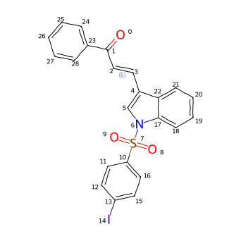 O=C(/C=C/c1cn(S(=O)(=O)c2ccc(I)cc2)c2ccccc12)c1ccccc1